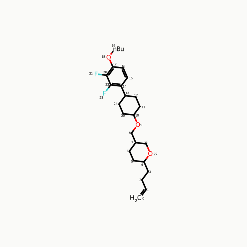 C=CCCC1CCC(COC2CCC(c3ccc(OCCCC)c(F)c3F)CC2)CO1